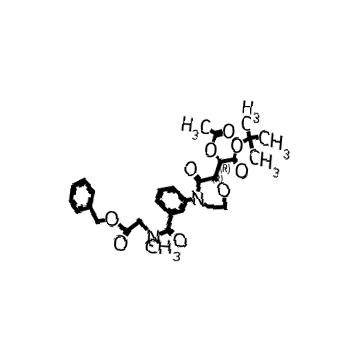 CC(=O)O[C@@H](C(=O)OC(C)(C)C)[C@H]1OCCN(c2cccc(C(=O)N(C)CC(=O)OCc3ccccc3)c2)C1=O